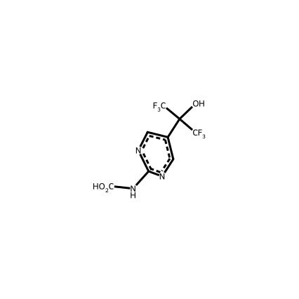 O=C(O)Nc1ncc(C(O)(C(F)(F)F)C(F)(F)F)cn1